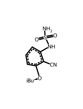 CC[C@H](C)Oc1cccc(NS(N)(=O)=O)c1C#N